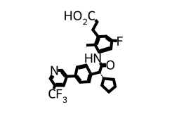 Cc1c(CCC(=O)O)cc(F)cc1NC(=O)[C@@H](c1ccc(-c2cncc(C(F)(F)F)c2)cc1)C1CCCC1